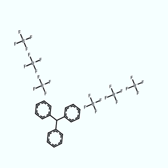 F[B-](F)(F)F.F[B-](F)(F)F.F[B-](F)(F)F.F[B-](F)(F)F.F[B-](F)(F)F.F[B-](F)(F)F.c1ccc(C(c2ccccc2)c2ccccc2)cc1